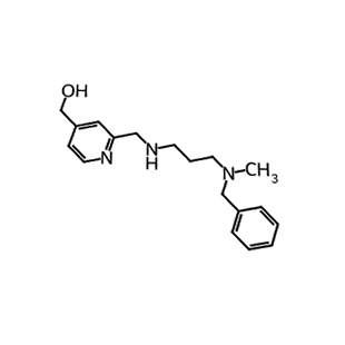 CN(CCCNCc1cc(CO)ccn1)Cc1ccccc1